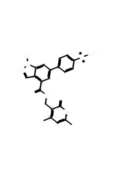 CNS(=O)(=O)c1ccc(-c2cc(C(=O)NCc3c(C)cc(C)[nH]c3=O)c3cnn(C(C)C)c3c2)cc1